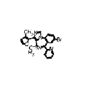 Cc1ccoc1-c1ncn2c1[C@H](C)N=C(c1ccccn1)c1cc(Br)ccc1-2